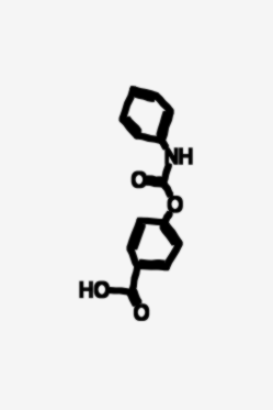 O=C(Nc1ccccc1)Oc1ccc(C(=O)O)cc1